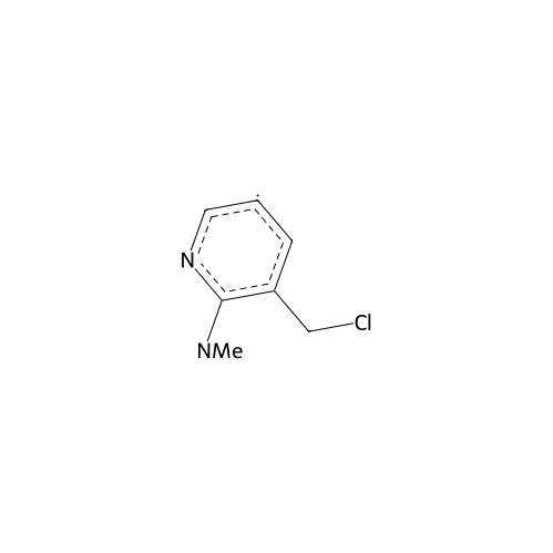 CNc1nc[c]cc1CCl